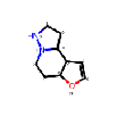 C1=CC2C(CCN3NCCC23)O1